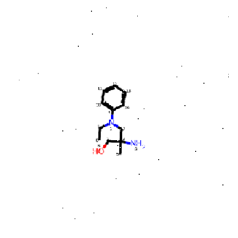 CCN(CC(C)(N)CO)c1ccccc1